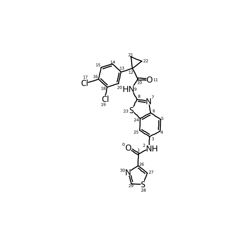 O=C(Nc1ccc2nc(NC(=O)C3(c4ccc(Cl)c(Cl)c4)CC3)sc2c1)c1cscn1